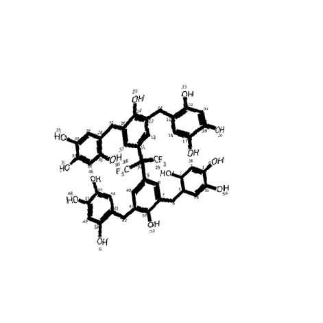 OC1=CC(O)C(Cc2cc(C(c3cc(Cc4cc(O)c(O)cc4O)c(O)c(Cc4cc(O)c(O)cc4O)c3)(C(F)(F)F)C(F)(F)F)cc(Cc3cc(O)c(O)cc3O)c2O)C=C1O